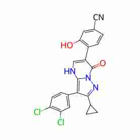 N#Cc1ccc(-c2c[nH]c3c(-c4ccc(Cl)c(Cl)c4)c(C4CC4)nn3c2=O)c(O)c1